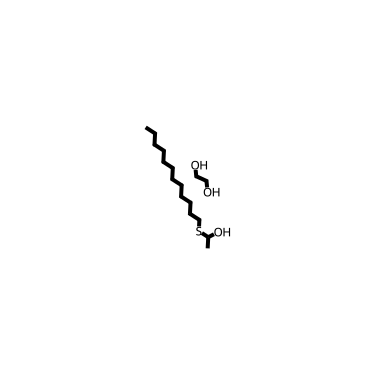 CCCCCCCCCCCCSC(C)O.OCCO